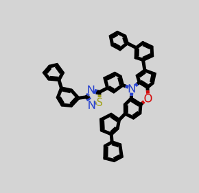 c1ccc(-c2cccc(-c3ccc4c(c3)N(c3cccc(-c5nc(-c6cccc(-c7ccccc7)c6)ns5)c3)c3cc(-c5cccc(-c6ccccc6)c5)ccc3O4)c2)cc1